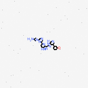 COc1cccc(-c2cncc3[nH]c(-c4n[nH]c5ccc(-c6cncc(N7CC(N)C7)n6)nc45)nc23)c1